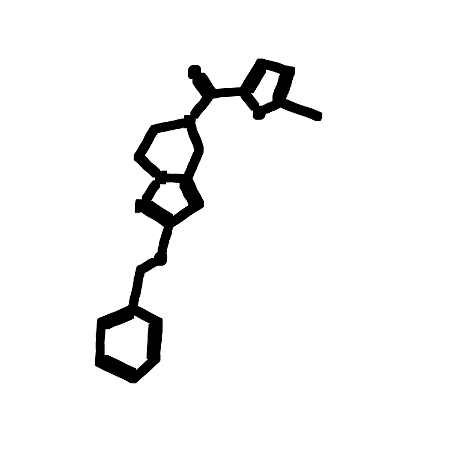 Cc1ccc(C(=O)N2CCn3nc(OCc4ccccc4)cc3C2)o1